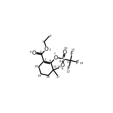 CCOC(=O)C1=C(OS(=O)(=O)C(F)(F)F)C(C)(C)CCC1